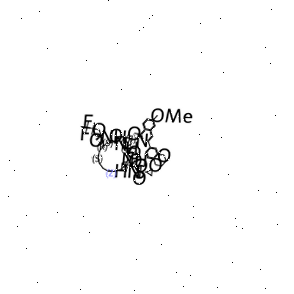 COc1ccc2c(O[C@@H]3C[C@H]4C(=O)N[C@]5(C(=O)NS(=O)(=O)C6CC6)CC5/C=C\CC[C@H](C)C[C@@H](C)[C@H](NC(=O)OC(C)(C)C(C)(F)F)C(=O)N4C3)nc(-c3ccc4c(c3)OCCO4)cc2c1